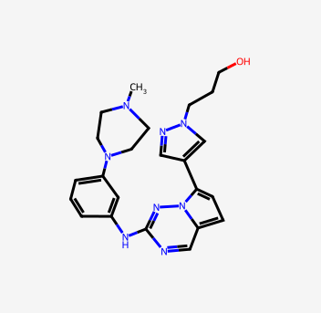 CN1CCN(c2cccc(Nc3ncc4ccc(-c5cnn(CCCO)c5)n4n3)c2)CC1